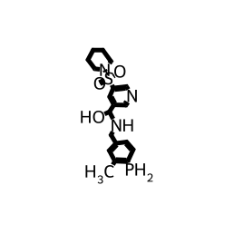 Cc1cc(CNC(O)c2cncc(S(=O)(=O)N3CCCCC3)c2)ccc1P